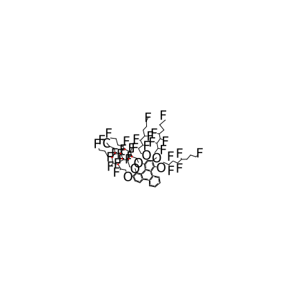 FCCCC(F)C(F)C(F)C(F)COc1ccc2c3ccccc3c3c(OCC(F)C(F)C(F)C(F)CCCF)c(OCC(F)C(F)C(F)C(F)CCCF)c(OCC(F)C(F)C(F)C(F)CCCF)c(OCC(F)C(F)C(F)C(F)CCCF)c3c2c1OCC(F)C(F)C(F)C(F)CCCF